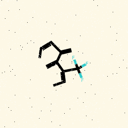 C=C(/C=C\C)C(=C)/C(=C\C)C(F)(F)F